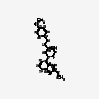 C=Cc1nc2c(C3CCNC(CCc4ccc(OC)cc4)C3)cccc2s1